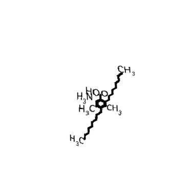 CCCCCCCCCCc1c(C)cc(C(=O)O)c(CCCCCCCCCC)c1C.N